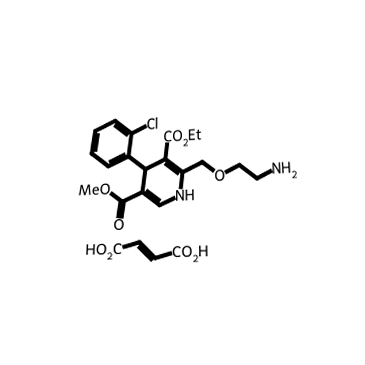 CCOC(=O)C1=C(COCCN)NC=C(C(=O)OC)C1c1ccccc1Cl.O=C(O)C=CC(=O)O